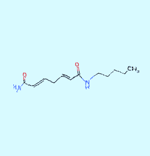 CCCCCNC(=O)C=CCC=CC(N)=O